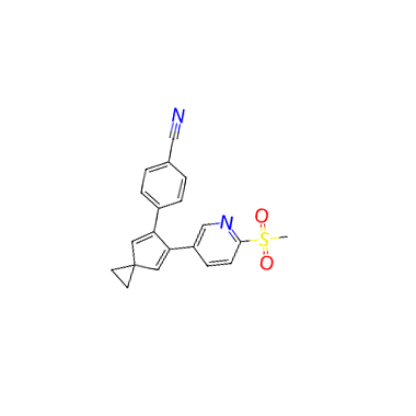 CS(=O)(=O)c1ccc(C2=CC3(C=C2c2ccc(C#N)cc2)CC3)cn1